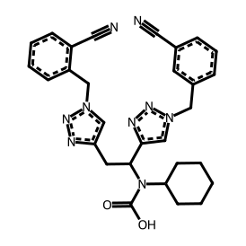 N#Cc1cccc(Cn2cc(C(Cc3cn(Cc4ccccc4C#N)nn3)N(C(=O)O)C3CCCCC3)nn2)c1